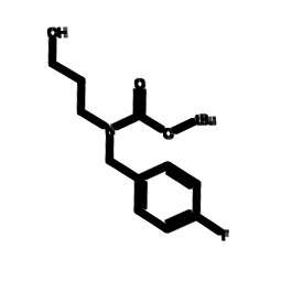 CC(C)(C)OC(=O)N(CCCO)Cc1ccc(F)cc1